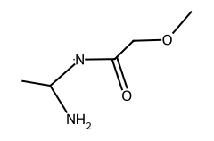 COCC(=O)[N]C(C)N